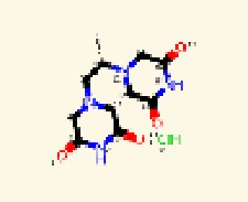 C[C@@H](CN1CC(=O)NC(=O)C1)N1CC(=O)NC(=O)C1.Cl